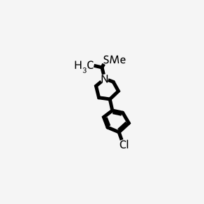 CSC(C)N1CCC(c2ccc(Cl)cc2)CC1